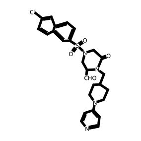 O=CC1CN(S(=O)(=O)c2ccc3cc(Cl)ccc3c2)CC(=O)N1CC1CCN(c2ccncc2)CC1